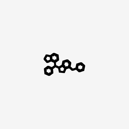 c1ccc(Cc2cccc3c2CCC3C(c2ccccc2)c2cccc3c2CCC3)cc1